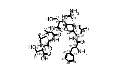 CC(C)C[C@H](NC(=O)[C@@H](NC(=O)[C@H](CO)NC(=O)[C@H](CC(N)=O)NC(=O)[C@H](CC(C)C)NC(=O)[C@@H](N)Cc1ccccc1)C(C)C)C(=O)N[C@H](C(=O)O)[C@@H](C)O